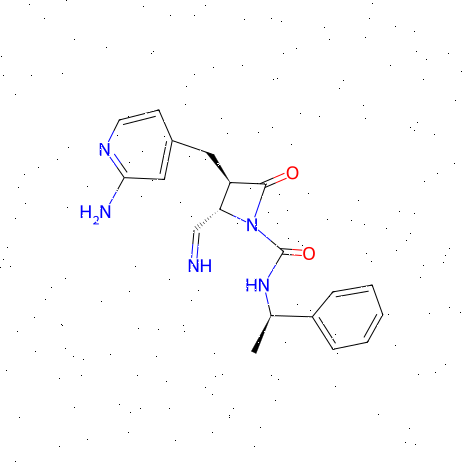 C[C@@H](NC(=O)N1C(=O)[C@H](Cc2ccnc(N)c2)[C@H]1C=N)c1ccccc1